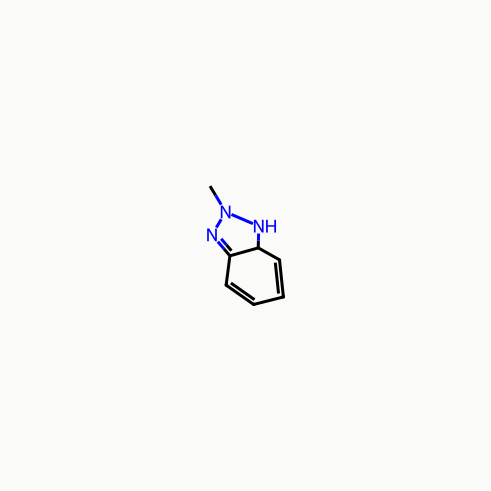 CN1N=C2C=CC=CC2N1